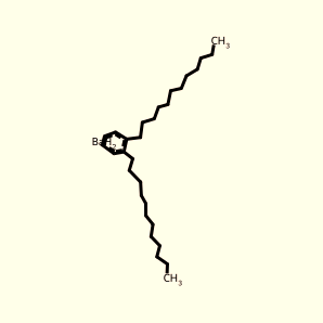 CCCCCCCCCCCCc1ccccc1CCCCCCCCCCCC.[BaH2]